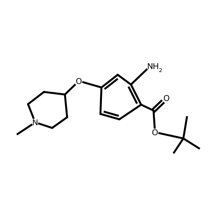 CN1CCC(Oc2ccc(C(=O)OC(C)(C)C)c(N)c2)CC1